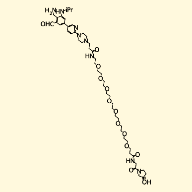 CC(C)Nc1cc(-c2ccc(N3CCN(CCC(=O)NCCOCCOCCOCCOCCOCCOCCOCCOCCC(=O)NCC(=O)N4CC[C@@H](O)C4)CC3)nc2)cc(C=O)c1CN